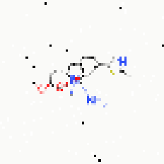 COC1CCC2(CC1)Cc1ccc(-c3cnc(C)s3)cc1[C@]21N=C(N)N(C)C1=O